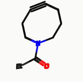 CCC(=O)N1CCC#CCCC1